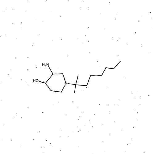 CCCCCCC(C)(C)N1CCC(O)C(N)C1